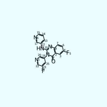 O=c1c2cc(F)ccc2nc(Nc2cccnc2)n1-c1cncc(F)c1